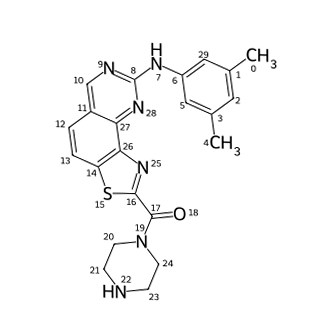 Cc1cc(C)cc(Nc2ncc3ccc4sc(C(=O)N5CCNCC5)nc4c3n2)c1